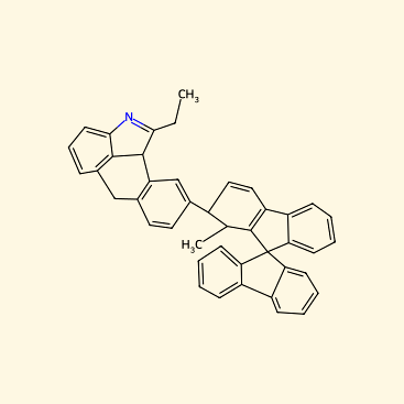 CCC1=Nc2cccc3c2C1c1cc(C2C=CC4=C(C2C)C2(c5ccccc54)c4ccccc4-c4ccccc42)ccc1C3